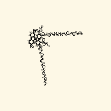 CCCOCCOCCOCCOCCOCCOOc1ccc(C2(c3ccc(OCCOCCOCCOCCOCCOCCOC)c(C(=O)OCC)c3)c3cc(Br)ccc3-c3ccc(Br)cc32)cc1C(=O)OCC